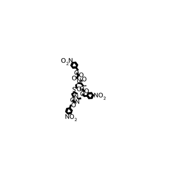 CC(=NC(=O)OCc1ccc([N+](=O)[O-])cc1)N1CCC(SC(=O)C[C@@H]2[C@@H]([C@@H](C)OC(=O)OCc3ccc([N+](=O)[O-])cc3)C(=O)N2C(=O)C(=O)OCc2ccc([N+](=O)[O-])cc2)C1